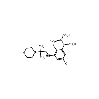 CC(C)(CNc1nc(Cl)nc(N(C(=O)O)N(C(=O)O)C(=O)O)c1F)N1CCOCC1